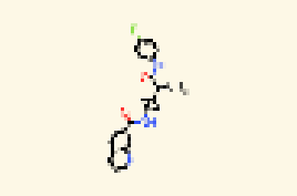 CC(C(=O)Nc1ccc(F)cc1)C12CC(NC(=O)c3ccc4cccnc4c3)(C1)C2